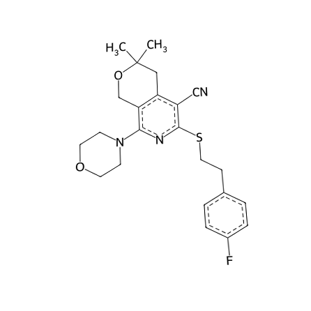 CC1(C)Cc2c(C#N)c(SCCc3ccc(F)cc3)nc(N3CCOCC3)c2CO1